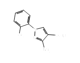 CCOC(=O)c1cn(-c2ccccc2C(F)(F)F)nc1N